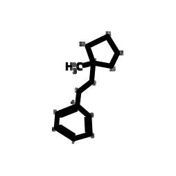 CC1(CCc2ccccc2)CCCC1